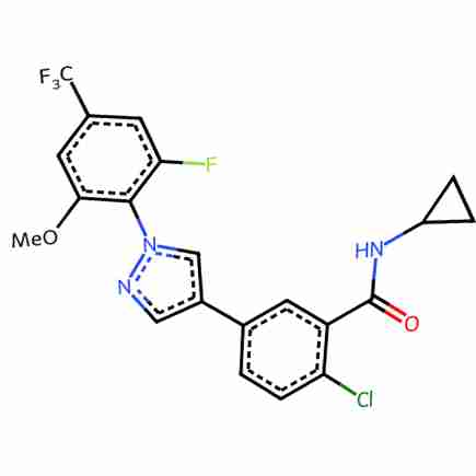 COc1cc(C(F)(F)F)cc(F)c1-n1cc(-c2ccc(Cl)c(C(=O)NC3CC3)c2)cn1